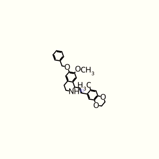 COc1cc2c(cc1OCc1ccccc1)CCNC2/C=C/c1cc2c(cc1C)OCCO2